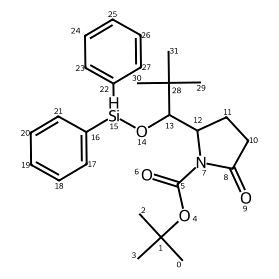 CC(C)(C)OC(=O)N1C(=O)CCC1C(O[SiH](c1ccccc1)c1ccccc1)C(C)(C)C